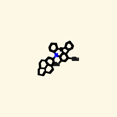 CC(C)(C)c1cc(C(C)(C)C)c2c3c1-c1ccccc1B3c1ccccc1N2c1cc2c3c(c1)CC=C1C=CC=C(C=C2)C13